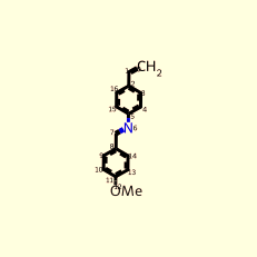 C=Cc1ccc(N=Cc2ccc(OC)cc2)cc1